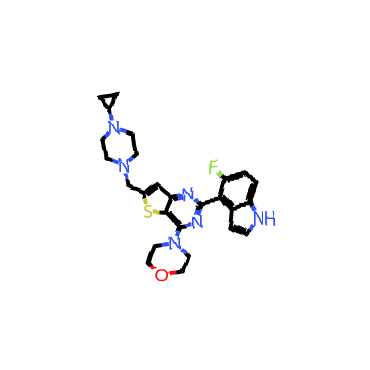 Fc1ccc2[nH]ccc2c1-c1nc(N2CCOCC2)c2sc(CN3CCN(C4CC4)CC3)cc2n1